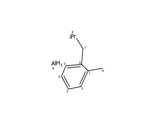 Cc1ccccc1CC(C)C.[AlH3]